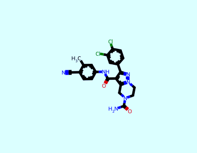 Cc1cc(NC(=O)c2c(-c3ccc(Cl)c(Cl)c3)nn3c2CN(C(N)=O)CC3)ccc1C#N